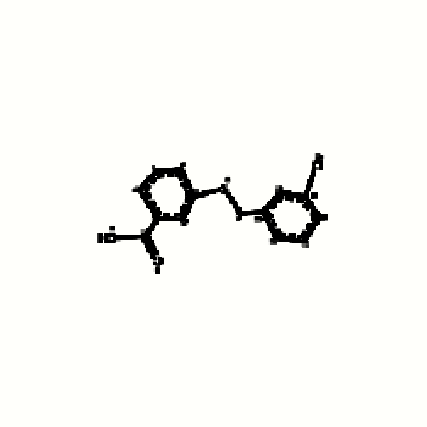 O=C(O)c1cccc(SCc2cccc(Cl)c2)c1